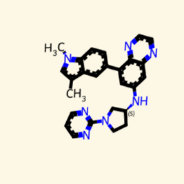 Cc1cn(C)c2ccc(-c3cc(N[C@H]4CCN(c5ncccn5)C4)cc4nccnc34)cc12